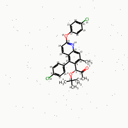 CC(=O)[C@@H](OC(C)(C)C)c1c(C)cc2nc(Oc3ccc(Cl)cc3)ccc2c1-c1ccc(Cl)cc1